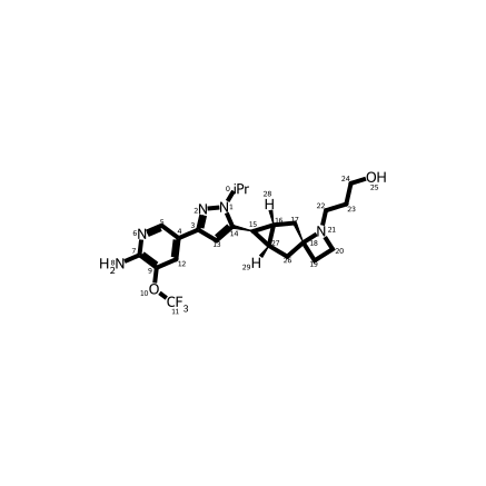 CC(C)n1nc(-c2cnc(N)c(OC(F)(F)F)c2)cc1[C@H]1[C@@H]2C[C@@]3(CCN3CCCO)C[C@@H]21